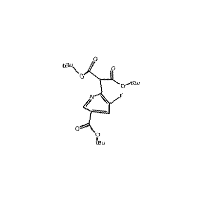 CC(C)(C)OC(=O)c1cnc(C(C(=O)OC(C)(C)C)C(=O)OC(C)(C)C)c(F)c1